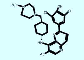 CC(=O)c1cnc2ccc(-c3cc(Cl)c(O)c(Cl)c3)nc2c1N[C@H]1CC[C@H](CN2CCN(C)CC2)CC1